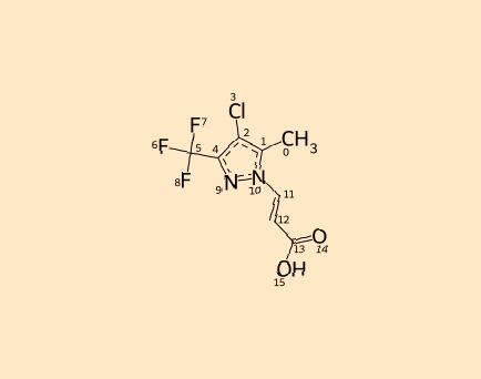 Cc1c(Cl)c(C(F)(F)F)nn1C=CC(=O)O